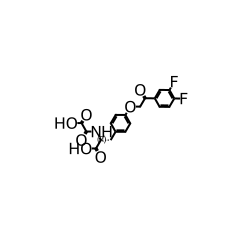 O=C(O)C(=O)N[C@H](Cc1ccc(OCC(=O)c2ccc(F)c(F)c2)cc1)C(=O)O